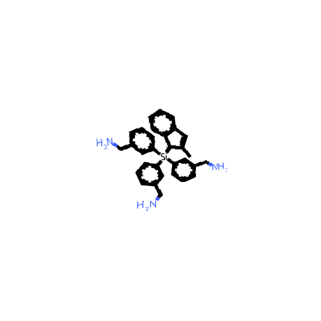 CC1=Cc2ccccc2[C]1[Si](c1cccc(CN)c1)(c1cccc(CN)c1)c1cccc(CN)c1